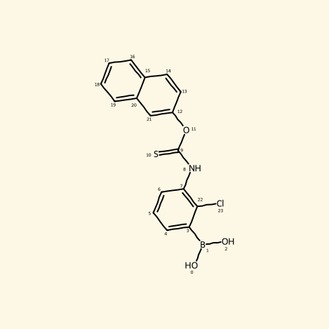 OB(O)c1cccc(NC(=S)Oc2ccc3ccccc3c2)c1Cl